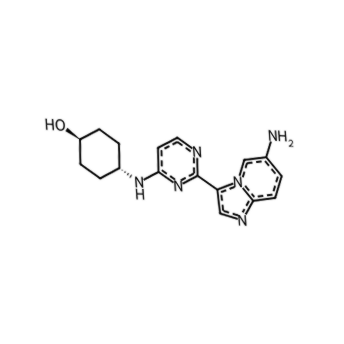 Nc1ccc2ncc(-c3nccc(N[C@H]4CC[C@H](O)CC4)n3)n2c1